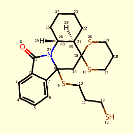 O=C1c2ccccc2C2(SCCCS)CC3(SCCCS3)[C@@H]3CCCC[C@H]3N12